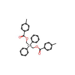 Cc1ccc(C(=O)O[CH2][Ge]([CH2]OC(=O)c2ccc(C)cc2)([c]2ccccc2)[c]2ccccc2)cc1